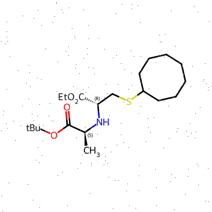 CCOC(=O)[C@H](CSC1CCCCCCC1)N[C@@H](C)C(=O)OC(C)(C)C